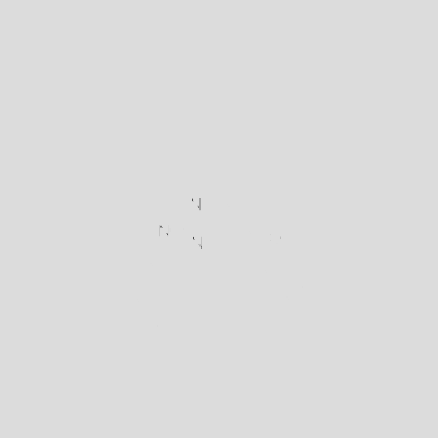 c1ccc(Oc2cc3c4cc5ccccc5cc4n4c3c(c2)n2c3cc5ccccc5cc3nc24)cc1